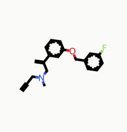 C#CCN(C)CC(=C)c1cccc(OCc2cccc(F)c2)c1